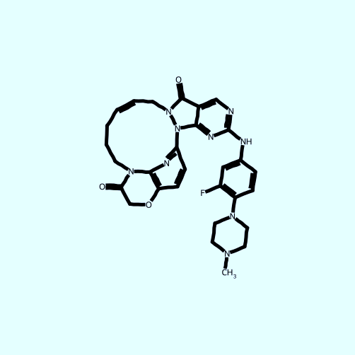 CN1CCN(c2ccc(Nc3ncc4c(=O)n5n(c4n3)-c3ccc4c(n3)N(CCC/C=C\C5)C(=O)CO4)cc2F)CC1